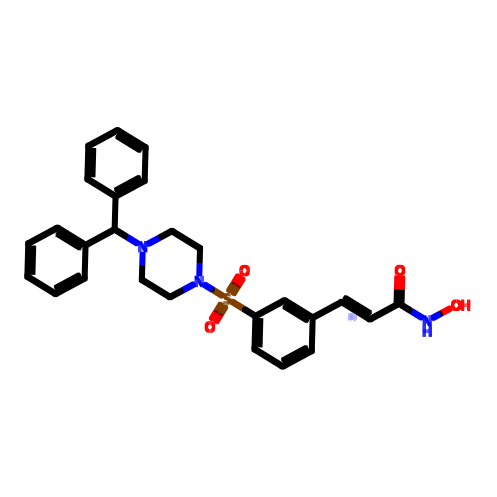 O=C(/C=C/c1cccc(S(=O)(=O)N2CCN(C(c3ccccc3)c3ccccc3)CC2)c1)NO